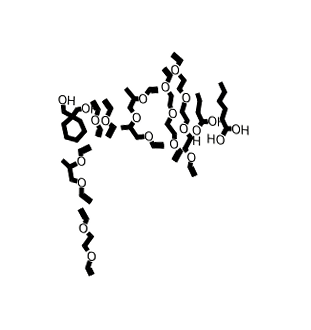 C=COC=C.C=COC=C.C=COCC(C)OC=C.C=COCC(C)OCC(C)OC=C.C=COCCOC=C.C=COCCOCCOC=C.C=COCCOCCOCCOC=C.CCCC(O)O.CCCCCC(O)O.OCC1(CO)CCCCC1